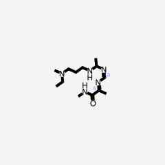 CCN(C)CCCNC(C)/N=C\N=C(/C)C(=O)NC